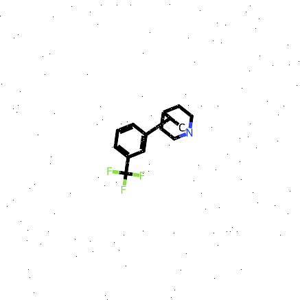 FC(F)(F)c1cccc(C2CN3CCC2CC3)c1